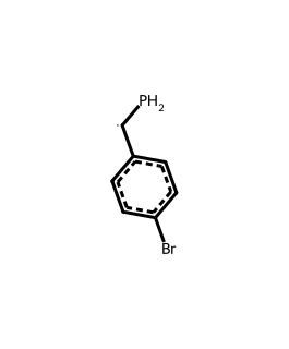 P[CH]c1ccc(Br)cc1